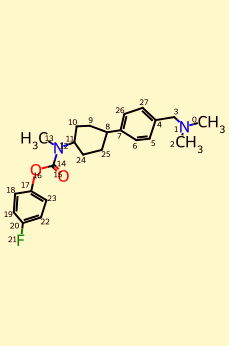 CN(C)Cc1ccc(C2CCC(N(C)C(=O)Oc3ccc(F)cc3)CC2)cc1